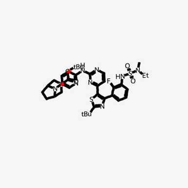 CCN(C)S(=O)(=O)Nc1cccc(-c2nc(C(C)(C)C)sc2-c2ccnc(Nc3ccc(N4C5CCC4CN(C(=O)OC(C)(C)C)C5)cn3)n2)c1F